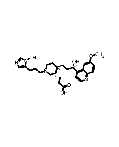 COc1ccc2nccc([C@H](O)CC[C@@H]3CCN(CCCc4cncn4C)C[C@H]3CCC(=O)O)c2c1